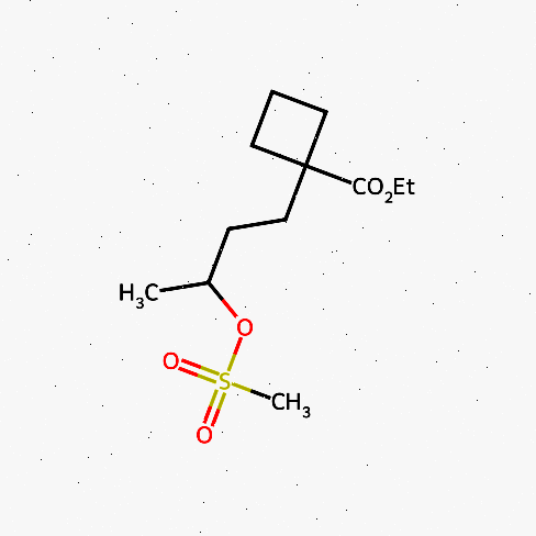 CCOC(=O)C1(CCC(C)OS(C)(=O)=O)CCC1